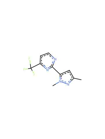 Cc1cc(-c2nccc(C(F)(F)F)n2)n(C)n1